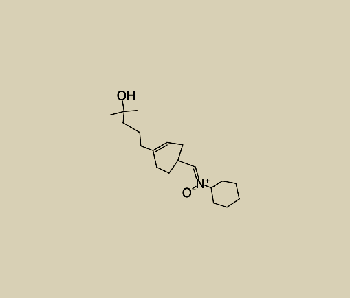 CC(C)(O)CCCC1=CCC(C=[N+]([O-])C2CCCCC2)CC1